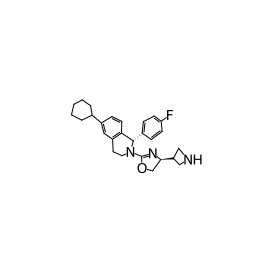 Fc1ccc([C@H]2c3ccc(C4CCCCC4)cc3CCN2C2=N[C@@H](C3CNC3)CO2)cc1